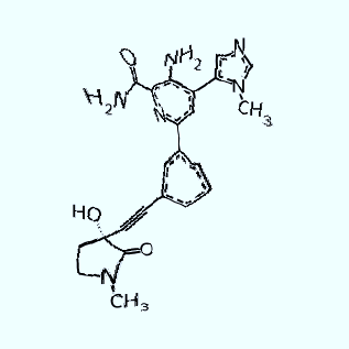 CN1CC[C@@](O)(C#Cc2cccc(-c3cc(-c4cncn4C)c(N)c(C(N)=O)n3)c2)C1=O